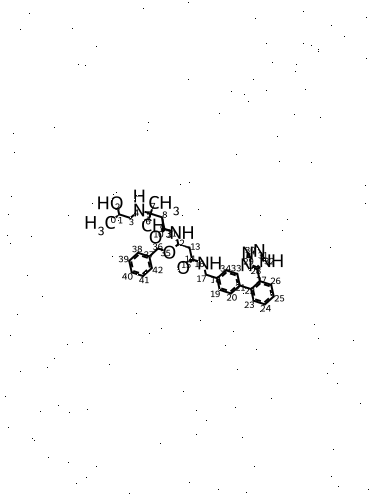 C[C@@H](O)CNC(C)(C)CC(=O)N[C@@H](CC(=O)NCc1ccc(-c2ccccc2-c2nnn[nH]2)cc1)OCc1ccccc1